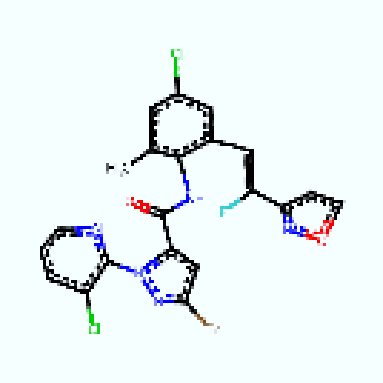 Cc1cc(Cl)cc(C=C(F)c2ccon2)c1NC(=O)c1cc(Br)nn1-c1ncccc1Cl